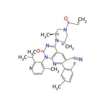 C=CC(=O)N1C[C@H](C)N(c2nc(=O)n(-c3c(C)ccnc3C(C)C)c3nc(-c4cc(C)ccc4F)c(C#N)cc23)[C@@H](C)C1